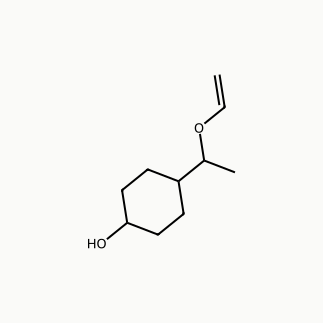 C=COC(C)C1CCC(O)CC1